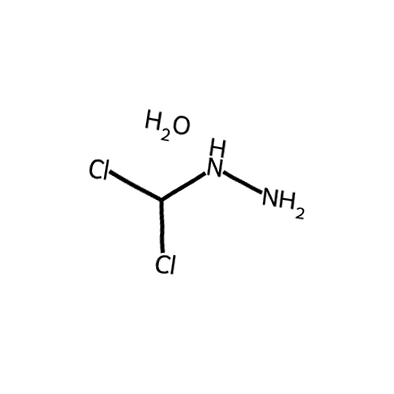 NNC(Cl)Cl.O